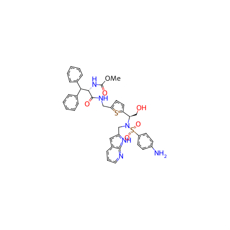 COC(=O)N[C@H](C(=O)NCc1ccc([C@@H](CO)N(Cc2cc3cccnc3[nH]2)S(=O)(=O)c2ccc(N)cc2)s1)C(c1ccccc1)c1ccccc1